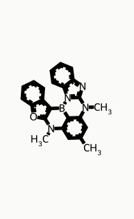 Cc1cc2c3c(c1)N(C)c1nc4ccccc4n1B3c1c(oc3ccccc13)N2C